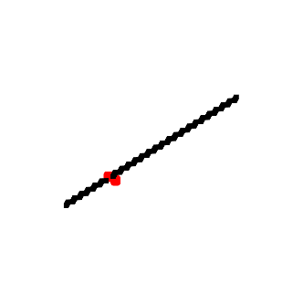 CCCCCCCCCCCCCCCCCCCCCCCCCCCCCCCCCCCCCC(=O)OCCCCCCCCCCCCC